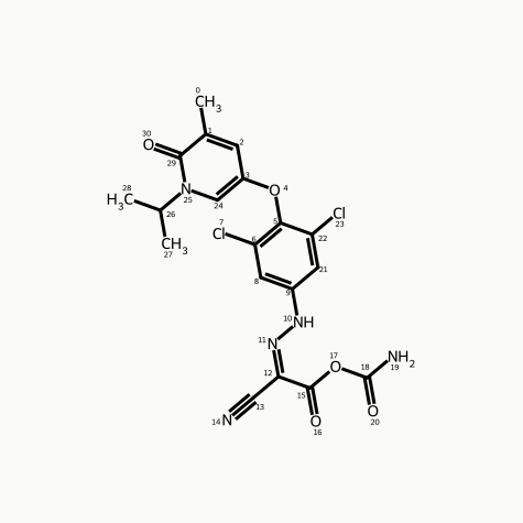 Cc1cc(Oc2c(Cl)cc(NN=C(C#N)C(=O)OC(N)=O)cc2Cl)cn(C(C)C)c1=O